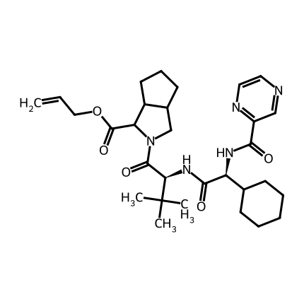 C=CCOC(=O)C1C2CCCC2CN1C(=O)[C@@H](NC(=O)[C@@H](NC(=O)c1cnccn1)C1CCCCC1)C(C)(C)C